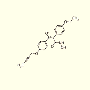 CC#CCOc1ccc([S+]([O-])C(C(=O)NO)c2ccc(OCC)cc2)cc1